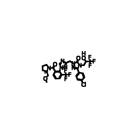 COC[C@H]1CCCN1C(=O)c1cccc(C(F)(F)F)c1-n1cnc(Cn2nc(-c3ccc(Cl)cc3)n(CC(O)C(F)(F)F)c2=O)n1